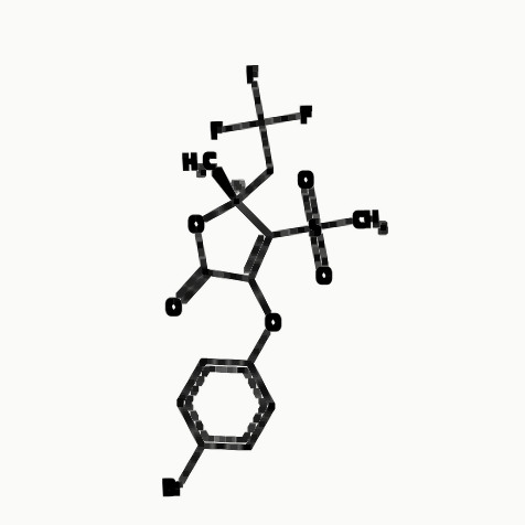 C[C@]1(CC(F)(F)F)OC(=O)C(Oc2ccc(Br)cc2)=C1S(C)(=O)=O